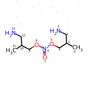 CC(CN)CO[N+](=O)OCC(C)CN